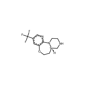 FC(F)(F)c1cnc2c(c1)OCC[Si@H]1CNCCN21